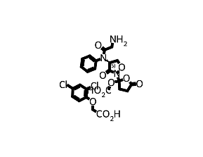 NCC(=O)N(c1ccccc1)[C@H]1CON(C2(OC(=O)O)CCC(=O)O2)C1=O.O=C(O)COc1ccc(Cl)cc1Cl